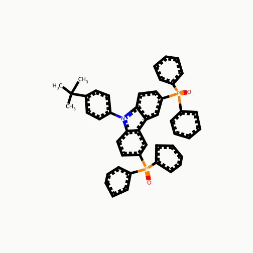 CC(C)(C)c1ccc(-n2c3ccc(P(=O)(c4ccccc4)c4ccccc4)cc3c3cc(P(=O)(c4ccccc4)c4ccccc4)ccc32)cc1